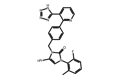 CCCc1cn(-c2c(C)cccc2F)c(=O)n1Cc1ccc(-c2ncccc2-c2nnn[nH]2)cc1